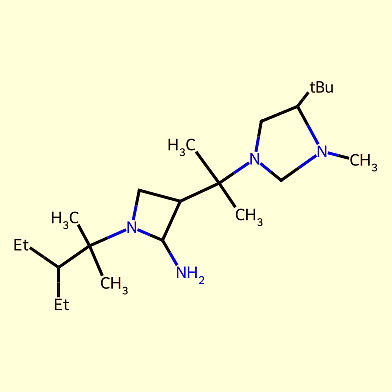 CCC(CC)C(C)(C)N1CC(C(C)(C)N2CC(C(C)(C)C)N(C)C2)C1N